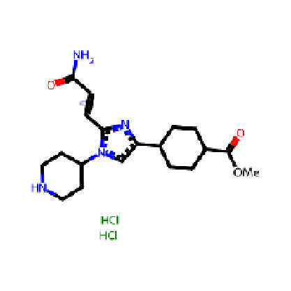 COC(=O)C1CCC(c2cn(C3CCNCC3)c(/C=C/C(N)=O)n2)CC1.Cl.Cl